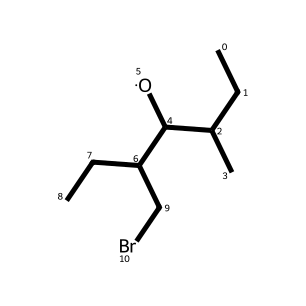 CCC(C)C([O])C(CC)CBr